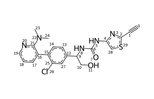 C#Cc1nc(NC(=O)NC(CO)c2ccc(-c3cccnc3N(C)C)c(Cl)c2)cs1